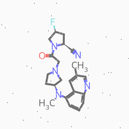 Cc1cnc2cccc(N(C)[C@H]3CCN(CC(=O)N4C[C@@H](F)C[C@H]4C#N)C3)c2c1